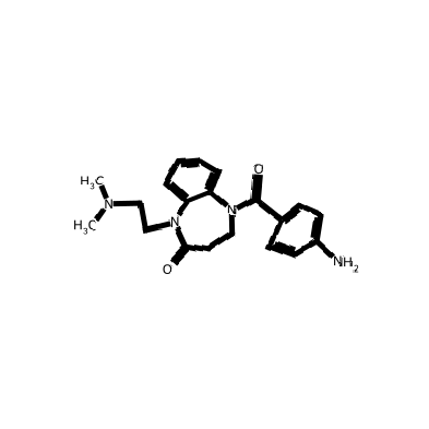 CN(C)CCN1C(=O)CCN(C(=O)c2ccc(N)cc2)c2ccccc21